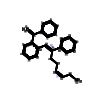 C=C(c1ccccc1)c1ccccc1/C=C(\CC/C=C\CN)c1ccccc1